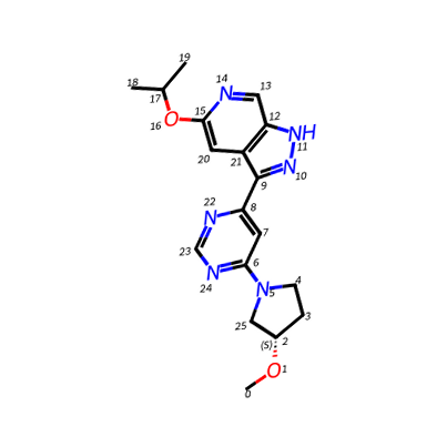 CO[C@H]1CCN(c2cc(-c3n[nH]c4cnc(OC(C)C)cc34)ncn2)C1